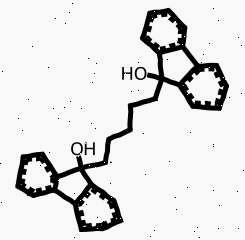 OC1([CH]CCCCC2(O)c3ccccc3-c3ccccc32)c2ccccc2-c2ccccc21